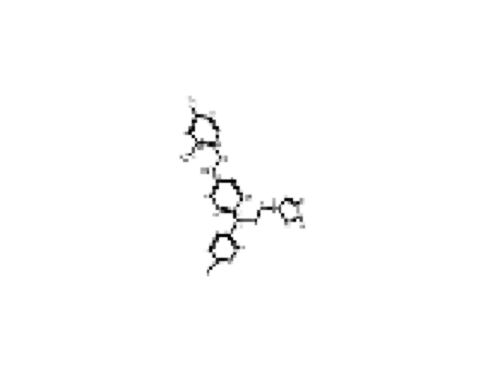 Cc1ccc(C(CCn2ccnc2)c2ccc(OCc3ccc(Cl)cc3Cl)cc2)cc1